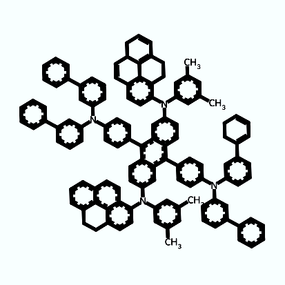 Cc1cc(C)cc(N(c2ccc3c(-c4ccc(N(c5cccc(C6=CC=CCC6)c5)c5cccc(-c6ccccc6)c5)cc4)c4cc(N(c5cc(C)cc(C)c5)c5ccc6c7c5ccc5cccc(c57)CC6)ccc4c(-c4ccc(N(c5cccc(-c6ccccc6)c5)c5cccc(-c6ccccc6)c5)cc4)c3c2)c2ccc3c4c2CCC2=C4C(C=C3)CC=C2)c1